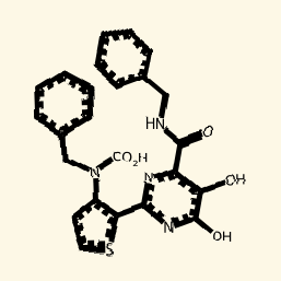 O=C(NCc1ccccc1)c1nc(-c2sccc2N(Cc2ccccc2)C(=O)O)nc(O)c1O